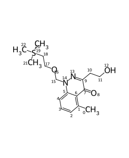 Cc1cccc2c1c(=O)c(CCO)nn2COCCS(C)(C)C